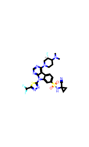 CN(C)C1CCN(c2ncnc3c2c2ccc(S(=O)(=O)NC4(C#N)CC4)cc2n3-c2nnc(C(F)F)s2)C[C@@H]1F